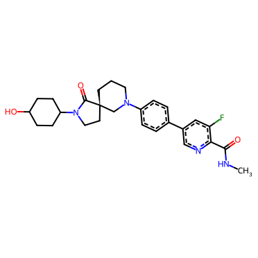 CNC(=O)c1ncc(-c2ccc(N3CCC[C@]4(CCN(C5CCC(O)CC5)C4=O)C3)cc2)cc1F